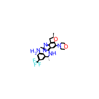 Cc1nc(N[C@H](C)c2cc(N)cc(C(F)(F)F)c2)c2cc(N3CCOCC3)c3c(c2n1)C[C@@H](C)O3